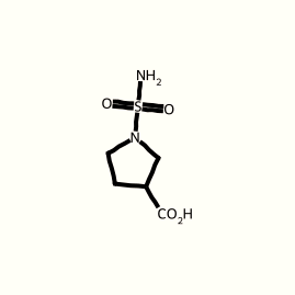 NS(=O)(=O)N1CCC(C(=O)O)C1